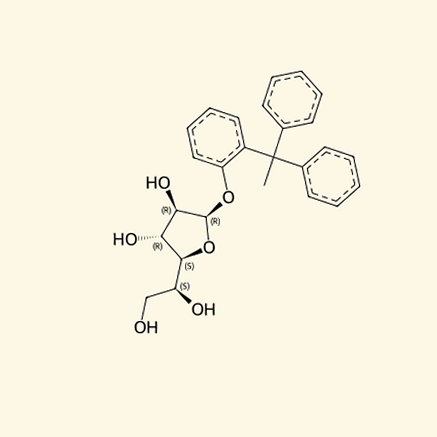 CC(c1ccccc1)(c1ccccc1)c1ccccc1O[C@H]1O[C@@H]([C@@H](O)CO)[C@H](O)[C@H]1O